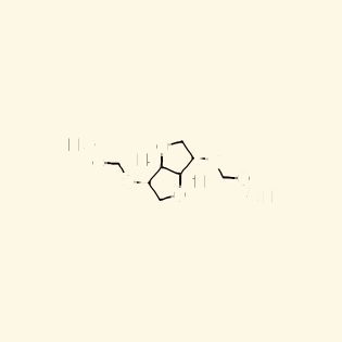 OOCO[C@@H]1CO[C@H]2[C@@H]1OC[C@H]2OCOO